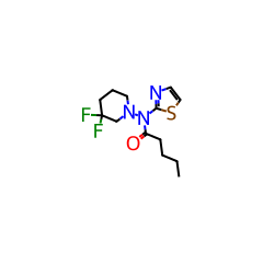 CCCCC(=O)N(c1nccs1)N1CCCC(F)(F)C1